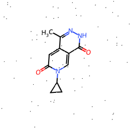 Cc1n[nH]c(=O)c2cn(C3CC3)c(=O)cc12